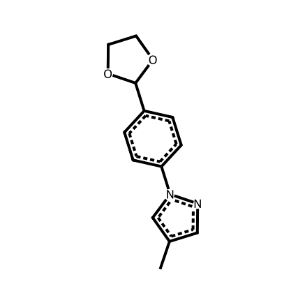 Cc1cnn(-c2ccc(C3OCCO3)cc2)c1